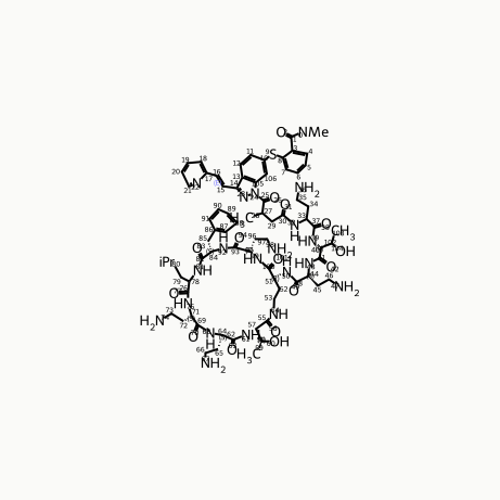 CNC(=O)c1ccccc1Sc1ccc2c(/C=C/c3ccccn3)nn(C(=O)C(C)CC(=O)NC(CCN)C(=O)N[C@@H](C(=O)N[C@@H](CCN)C(=O)N[C@@H]3CCNC(=O)C([C@H](C)O)NC(=O)[C@H](CCN)NC(=O)[C@H](CCN)NC(=O)C(CC(C)C)NC(=O)[C@H](Cc4ccccc4)NC(=O)[C@H](CCN)NC3=O)C(C)O)c2c1